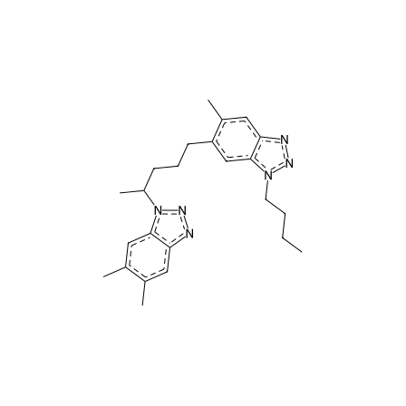 CCCCn1nnc2cc(C)c(CCCC(C)n3nnc4cc(C)c(C)cc43)cc21